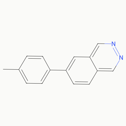 Cc1ccc(-c2ccc3cnncc3c2)cc1